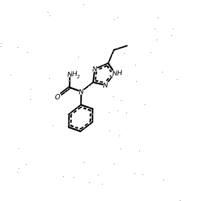 CCc1nc(N(C(N)=O)c2ccccc2)n[nH]1